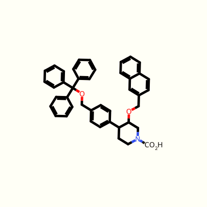 O=C(O)N1CCC(c2ccc(COC(c3ccccc3)(c3ccccc3)c3ccccc3)cc2)C(OCc2ccc3ccccc3c2)C1